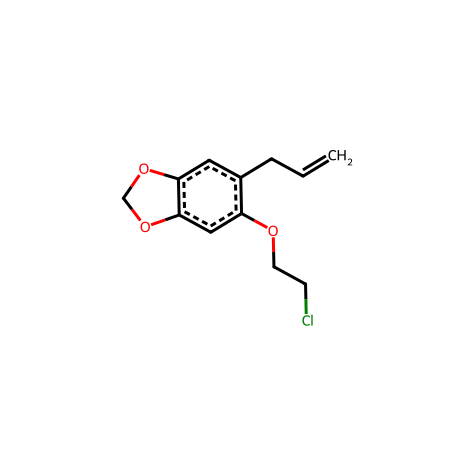 C=CCc1cc2c(cc1OCCCl)OCO2